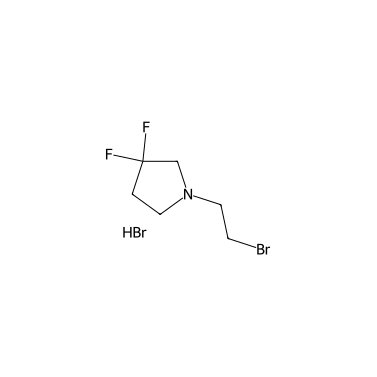 Br.FC1(F)CCN(CCBr)C1